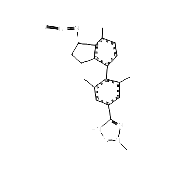 Cc1cc(C2=NN(C)NN2)cc(C)c1-c1ccc(F)c2c1CC[C@H]2N=[N+]=[N-]